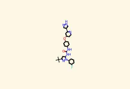 CC(C)(C)c1cc(NC(=O)Nc2ccc(Oc3ccnc(-c4cn[nH]c4)c3)cc2)n(-c2cccc(F)c2)n1